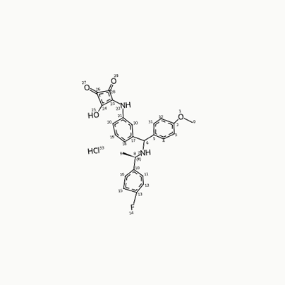 COc1ccc(C(N[C@H](C)c2ccc(F)cc2)c2cccc(Nc3c(O)c(=O)c3=O)c2)cc1.Cl